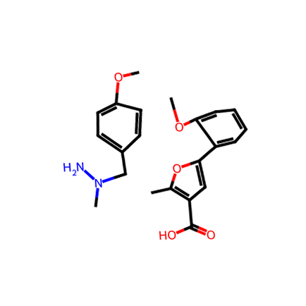 COc1ccc(CN(C)N)cc1.COc1ccccc1-c1cc(C(=O)O)c(C)o1